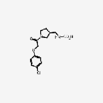 O=C(O)NCC1CCN(C(=O)COc2ccc(Cl)cc2)C1